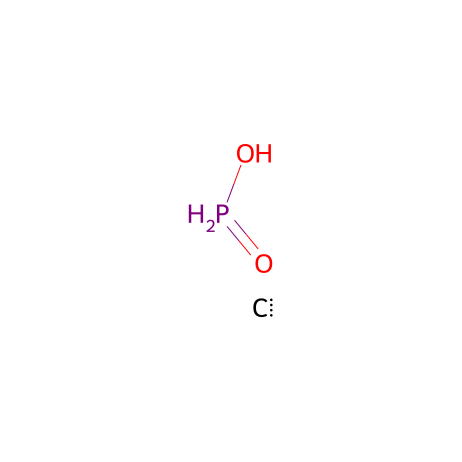 O=[PH2]O.[C]